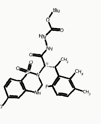 Cc1ccc(F)c(C(C)[C@@H](C(=O)NNC(=O)OC(C)(C)C)N2CNc3cc(Cl)ccc3S2(=O)=O)c1C